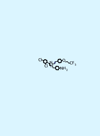 Nc1ccc(Cn2cc(-c3ccc(Cl)cc3Cl)nc2/C=C/c2ccc(OCCCC(F)(F)F)cc2)cc1